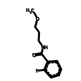 COCCCNC(=O)c1ccccc1F